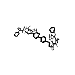 C[C@@H](c1ncc(-c2ccc(-c3ccc(-c4cnc([C@H](C)N(C)C(=O)[C@@H](c5ccccc5)N(C)C)[nH]4)cc3)cc2)[nH]1)N(C)C(=O)Cc1ccccc1